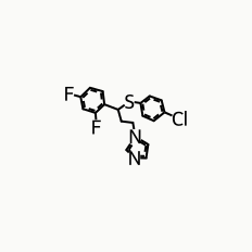 Fc1ccc(C(CCn2ccnc2)Sc2ccc(Cl)cc2)c(F)c1